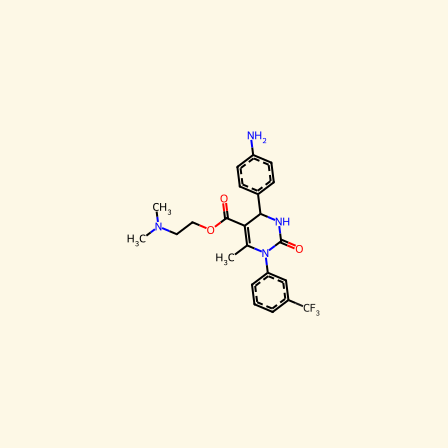 CC1=C(C(=O)OCCN(C)C)C(c2ccc(N)cc2)NC(=O)N1c1cccc(C(F)(F)F)c1